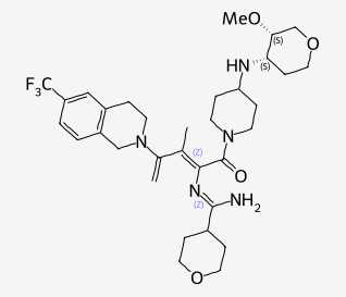 C=C(/C(C)=C(\N=C(/N)C1CCOCC1)C(=O)N1CCC(N[C@H]2CCOC[C@H]2OC)CC1)N1CCc2cc(C(F)(F)F)ccc2C1